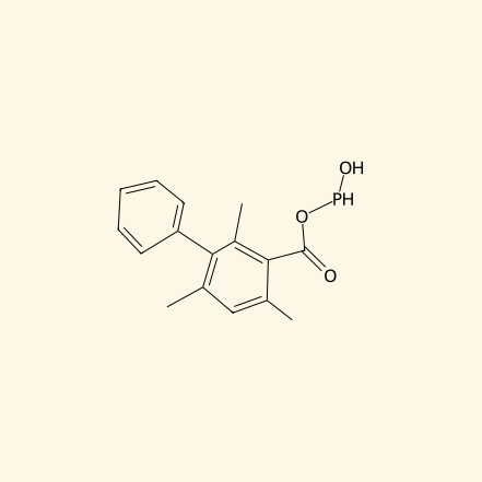 Cc1cc(C)c(-c2ccccc2)c(C)c1C(=O)OPO